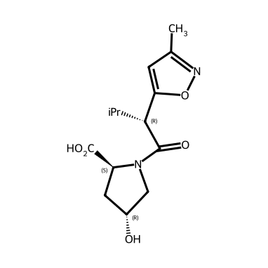 Cc1cc([C@H](C(=O)N2C[C@H](O)C[C@H]2C(=O)O)C(C)C)on1